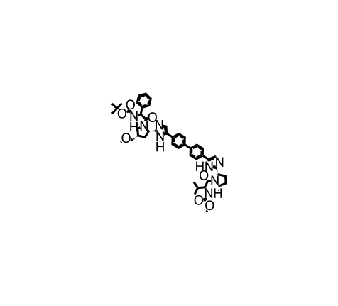 COC[C@H]1C[C@@H](c2ncc(-c3ccc(-c4ccc(-c5cnc([C@@H]6CC[C@H](C)N6C(=O)C(NC(=O)OC)C(C)C)[nH]5)cc4)cc3)[nH]2)N(C(=O)C(NC(=O)OC(C)(C)C)c2ccccc2)C1